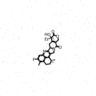 CC[C@@]1(O)C(=O)OCC2=C1CC1c3nc4cc(F)c(C)c5c4c(c3CN1C2=O)[C@@H](C)CC5